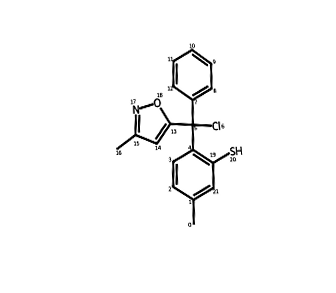 Cc1ccc(C(Cl)(c2ccccc2)c2cc(C)no2)c(S)c1